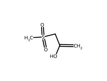 C=C(O)CS(C)(=O)=O